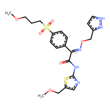 COCCCS(=O)(=O)c1ccc(/C(=N\OCc2cc[nH]n2)C(=O)Nc2ncc(COC)s2)cc1